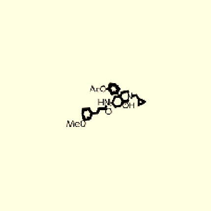 COc1cccc(C=CC(=O)N[C@H]2CC[C@]3(O)CN(CC4CC4)CC[C@@]3(c3cccc(OC(C)=O)c3)C2)c1